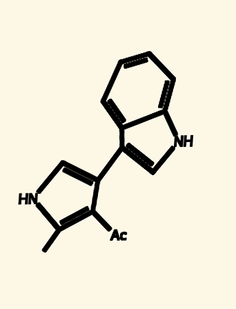 CC(=O)c1c(-c2c[nH]c3ccccc23)c[nH]c1C